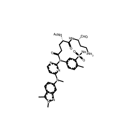 CC(=O)N[C@@H](CCC(=O)N(c1ccc(C)c(S(N)(=O)=O)c1)c1nccc(N(C)c2ccc3c(C)n(C)nc3c2)n1)C(=O)N[C@H](C=O)CCN